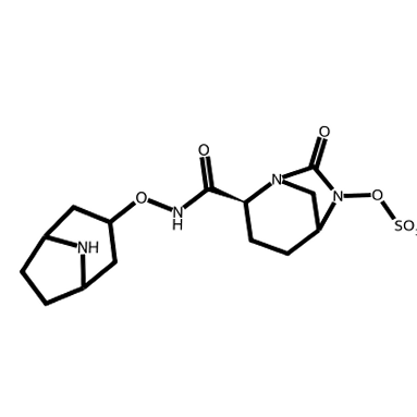 O=C(NOC1CC2CCC(C1)N2)[C@@H]1CCC2CN1C(=O)N2OS(=O)(=O)O